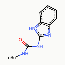 CCCCNC(=O)Nc1nc2ccccc2[nH]1